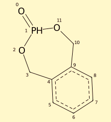 O=[PH]1OCc2ccccc2CO1